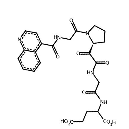 O=C(O)CCC(NC(=O)CNC(=O)C(=O)[C@@H]1CCCN1C(=O)CNC(=O)c1ccnc2ccccc12)C(=O)O